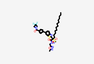 CCCCCCCCCCCCCCC(C(=O)NCc1nnc(C)o1)(c1nc2ccc(-c3ccc(C(=O)N4CC(F)(F)C4)cc3)cc2s1)S(C)(=O)=O